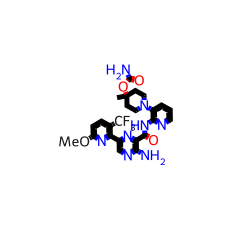 COc1ccc(C(F)(F)F)c(-c2cnc(N)c(C(=O)Nc3ncccc3N3CCC(C)(OC(N)=O)CC3)n2)n1